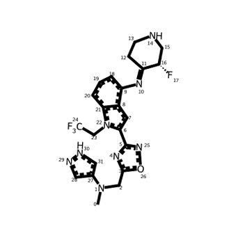 CN(Cc1nc(-c2cc3c(/N=C4\CCNC[C@@H]4F)cccc3n2CC(F)(F)F)no1)c1cn[nH]c1